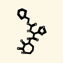 O=C(NC(C(=O)NC1CCCNC(=O)C1=O)c1cocn1)OCc1ccccc1